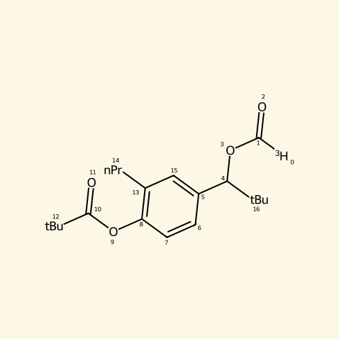 [3H]C(=O)OC(c1ccc(OC(=O)C(C)(C)C)c(CCC)c1)C(C)(C)C